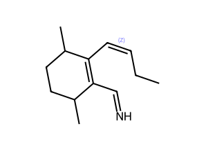 CC/C=C\C1=C(C=N)C(C)CCC1C